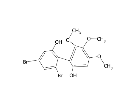 COc1cc(O)c(-c2c(O)cc(Br)cc2Br)c(OC)c1OC